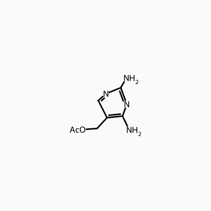 CC(=O)OCc1cnc(N)nc1N